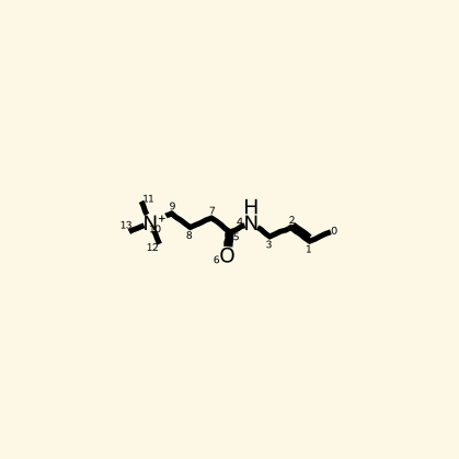 C/C=C/CNC(=O)CCC[N+](C)(C)C